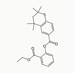 CCOC(=O)c1ccccc1OC(=O)c1ccc2c(c1)C(C)(C)CC(C)(C)S2